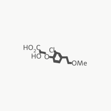 COCCc1ccc(OCC(O)C(=O)O)c(Cl)c1